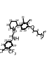 Cc1c(OCCCN(C)C)ccc(C2CCCCN2CCNc2ccc(Cl)c(C(F)(F)F)c2)c1C